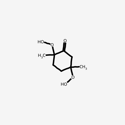 CC1(OO)CCC(C)(OO)C(=O)C1